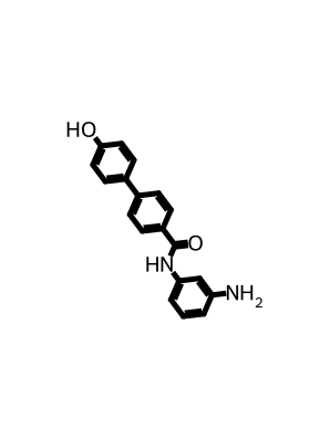 Nc1cccc(NC(=O)c2ccc(-c3ccc(O)cc3)cc2)c1